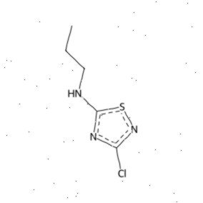 CCCNc1nc(Cl)ns1